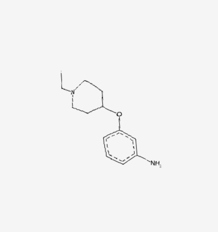 CCN1CCC(Oc2cccc(N)c2)CC1